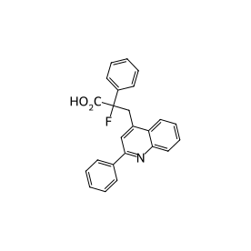 O=C(O)C(F)(Cc1cc(-c2ccccc2)nc2ccccc12)c1ccccc1